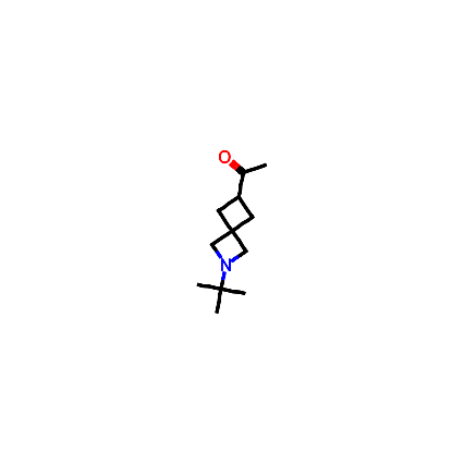 CC(=O)C1CC2(C1)CN(C(C)(C)C)C2